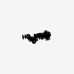 O=C(c1cnc(-c2ccc(NCC3(c4ncccc4F)CCC3)nn2)s1)N1CCC(O)C1